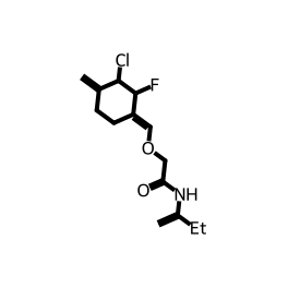 C=C(CC)NC(=O)CO/C=C1\CCC(=C)C(Cl)C1F